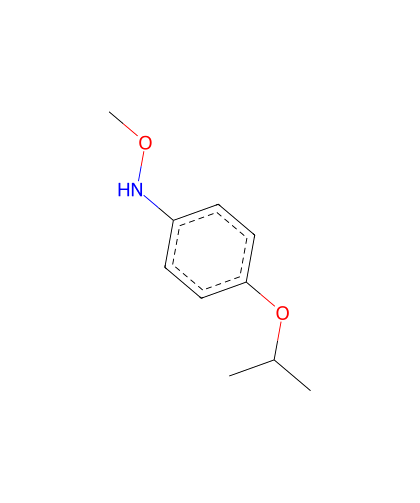 CONc1ccc(OC(C)C)cc1